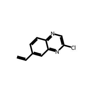 C=Cc1ccc2ncc(Cl)nc2c1